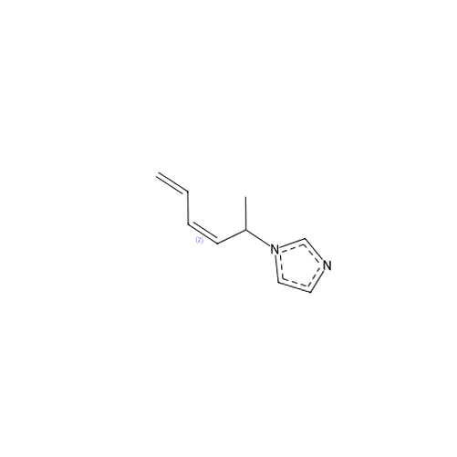 C=C/C=C\C(C)n1ccnc1